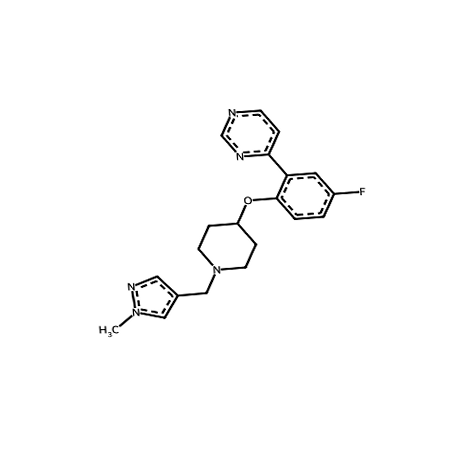 Cn1cc(CN2CCC(Oc3ccc(F)cc3-c3ccncn3)CC2)cn1